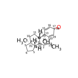 CC1=C[C@H]2[C@@H]3CCC[C@@]3(C)CC[C@@H]2[C@@]2(C)C=CC(=O)C=C12